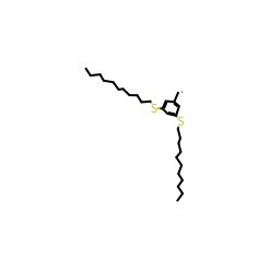 [CH2]c1cc(SCCCCCCCCCCC)cc(SCCCCCCCCCCC)c1